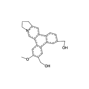 COc1cc2c(cc1CO)c1cc(CO)ccc1c1cc3[n+](cc21)CCC3